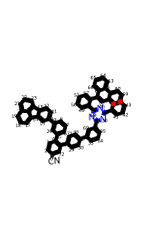 N#Cc1ccc(-c2cccc(-c3ccc4c(c3)-c3cccc5cccc-4c35)c2)c(-c2ccc(-c3cccc(-c4nc(-c5ccccc5)nc(-c5ccccc5-c5cc6ccccc6c6ccccc56)n4)c3)cc2)c1